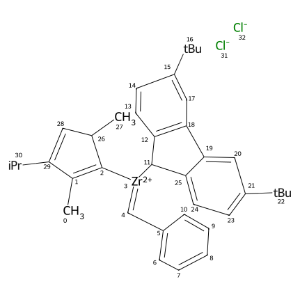 CC1=[C](/[Zr+2](=[CH]/c2ccccc2)[CH]2c3ccc(C(C)(C)C)cc3-c3cc(C(C)(C)C)ccc32)C(C)C=C1C(C)C.[Cl-].[Cl-]